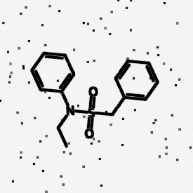 CCN(c1ccccc1)S(=O)(=O)Cc1ccccc1